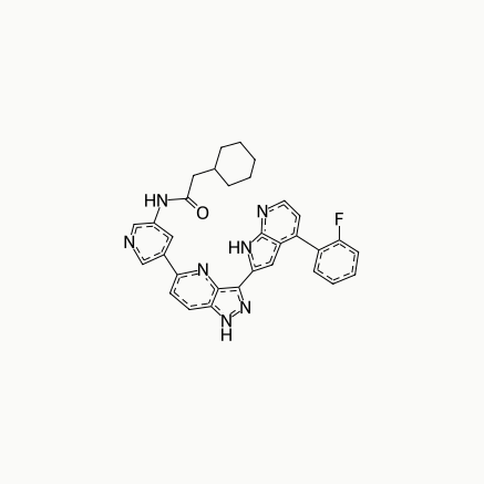 O=C(CC1CCCCC1)Nc1cncc(-c2ccc3[nH]nc(-c4cc5c(-c6ccccc6F)ccnc5[nH]4)c3n2)c1